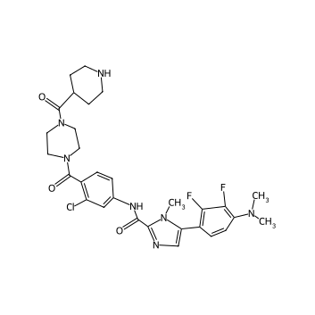 CN(C)c1ccc(-c2cnc(C(=O)Nc3ccc(C(=O)N4CCN(C(=O)C5CCNCC5)CC4)c(Cl)c3)n2C)c(F)c1F